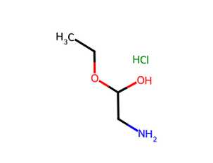 CCOC(O)CN.Cl